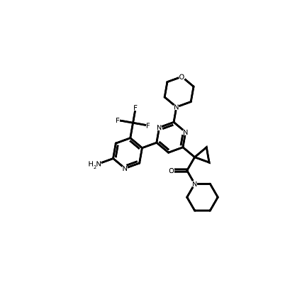 Nc1cc(C(F)(F)F)c(-c2cc(C3(C(=O)N4CCCCC4)CC3)nc(N3CCOCC3)n2)cn1